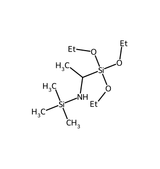 CCO[Si](OCC)(OCC)C(C)N[Si](C)(C)C